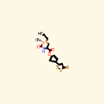 C#CCSCC(NC(=O)OC(C)(C)C)C(=O)Oc1ccc(-c2cc(=S)ss2)cc1